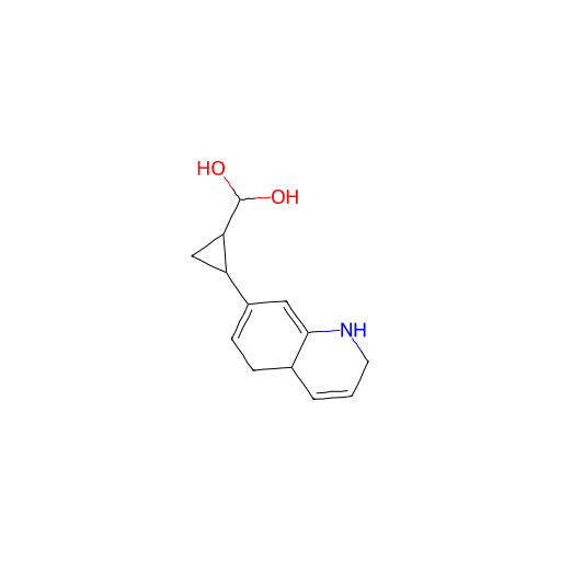 OC(O)C1CC1C1=CCC2C=CCNC2=C1